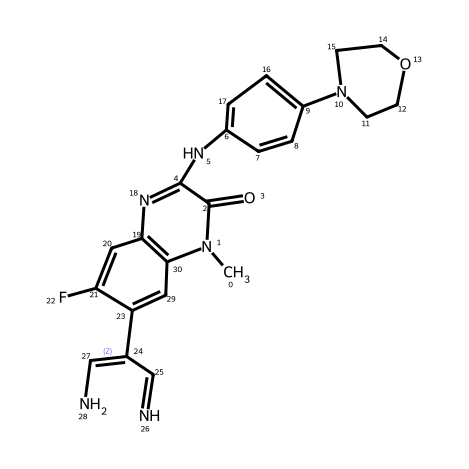 Cn1c(=O)c(Nc2ccc(N3CCOCC3)cc2)nc2cc(F)c(/C(C=N)=C/N)cc21